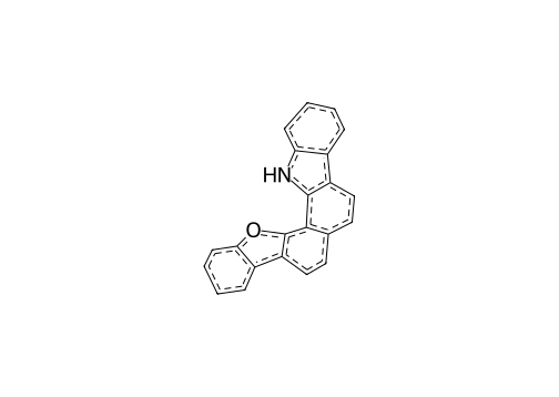 c1ccc2c(c1)[nH]c1c2ccc2ccc3c4ccccc4oc3c21